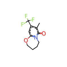 Cc1c(C(F)(F)F)cc2n(c1=O)CCCCO2